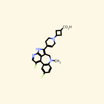 CN1Cc2c(C3=CCN(C4CC(C(=O)O)C4)CC3)[nH]c3ncc(F)c(c23)-c2cc(F)ccc21